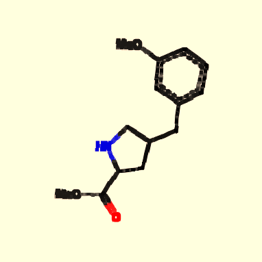 COC(=O)C1CC(Cc2cccc(OC)c2)CN1